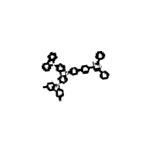 Cc1ccc2c(c1)c1cc(C)ccc1n2-c1ccc2c(c1)c1cc(-n3c4ccccc4c4ccccc43)ccc1n2-c1ccc(-c2ccc(-c3cc(-c4ccccc4)nc(-c4ccccc4)n3)cc2)cc1